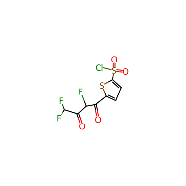 O=C(c1ccc(S(=O)(=O)Cl)s1)C(F)C(=O)C(F)F